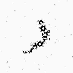 CNCCNC(=O)C(C)(C)c1ccc(Oc2nc3nc(-c4ccc(N5CCCC5)cc4)c(Cl)cc3[nH]2)cc1